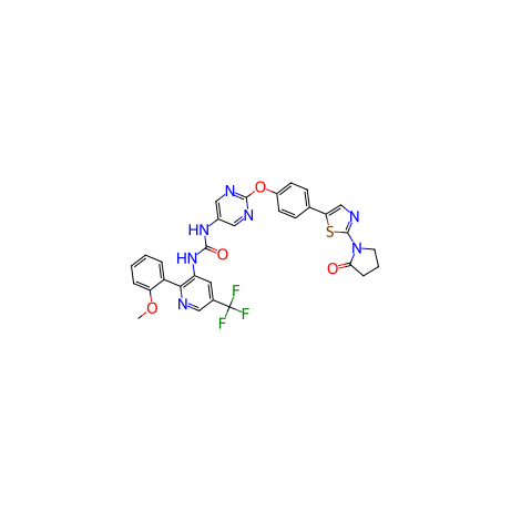 COc1ccccc1-c1ncc(C(F)(F)F)cc1NC(=O)Nc1cnc(Oc2ccc(-c3cnc(N4CCCC4=O)s3)cc2)nc1